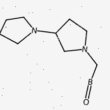 O=BCN1CCC(N2CCCC2)C1